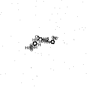 O=CC(CC(=O)NNC(=S)Nc1cccc([N+](=O)[O-])c1)C(S)Nc1ccc(NS(=O)(=O)O)cc1